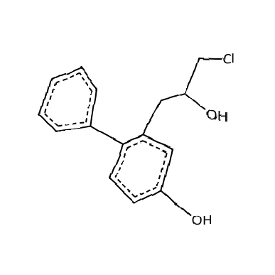 Oc1ccc(-c2ccccc2)c(CC(O)CCl)c1